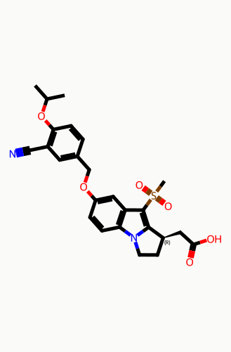 CC(C)Oc1ccc(COc2ccc3c(c2)c(S(C)(=O)=O)c2n3CC[C@@H]2CC(=O)O)cc1C#N